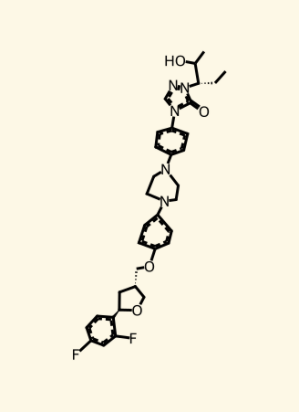 CC[C@@H](C(C)O)n1ncn(-c2ccc(N3CCN(c4ccc(OC[C@@H]5CO[C@@H](c6ccc(F)cc6F)C5)cc4)CC3)cc2)c1=O